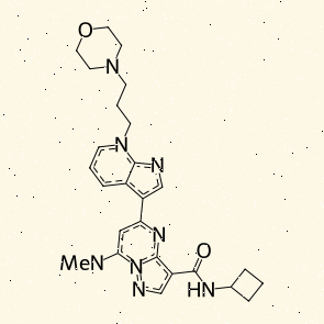 CNc1cc(-c2cnc3n(CCCN4CCOCC4)cccc2-3)nc2c(C(=O)NC3CCC3)cnn12